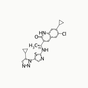 C[C@H](Nc1ncc(-n2nncc2C2CC2)s1)c1cc2cc(Cl)c(C3CC3)cc2[nH]c1=O